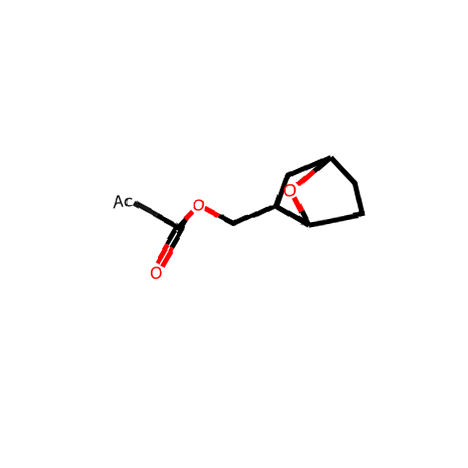 CC(=O)C(=O)OCC1CC2CCC1O2